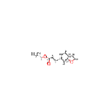 CCOC(=O)/C=C/c1ccc2ccoc2c1